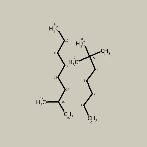 CCCCCC(C)(C)C.CCCCCCC(C)C